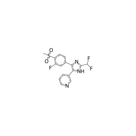 CS(=O)(=O)c1ccc(-c2nc(C(F)F)[nH]c2-c2cccnc2)cc1F